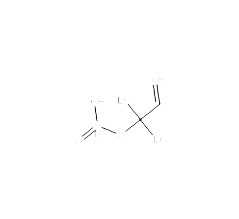 C=CC(CC)(CC)O[PH](=O)O